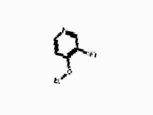 CCOc1ccncc1N=O